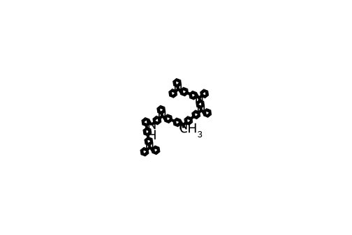 CN(c1ccc(-c2ccc(N(c3ccccc3)c3ccc(Nc4ccccc4-c4ccc(-c5ccc(N(c6ccccc6)c6ccccc6)cc5)cc4)cc3)cc2)cc1)c1ccc(-c2ccc(N(c3ccccc3)c3ccc(N(c4ccccc4)c4ccc(-c5ccc(N(c6ccccc6)c6ccccc6)cc5)cc4)cc3)cc2)cc1